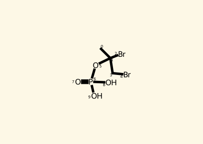 CC(Br)(CBr)OP(=O)(O)O